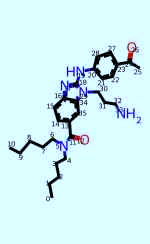 CCCCCN(CCCCC)C(=O)c1ccc2nc(Nc3ccc(C(C)=O)cc3)n(CCCN)c2c1